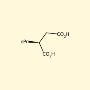 CCC[C@@H](CC(=O)O)C(=O)O